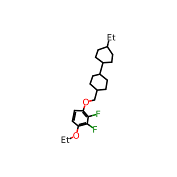 CCOc1ccc(OCC2CCC(C3CCC(CC)CC3)CC2)c(F)c1F